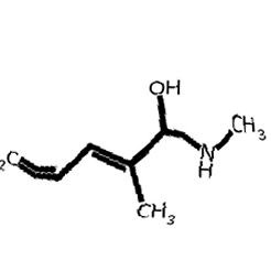 C=C/C=C(\C)C(O)NC